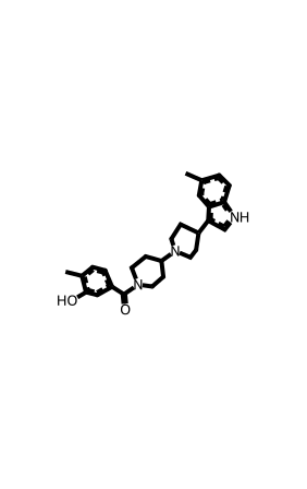 Cc1ccc2[nH]cc(C3CCN(C4CCN(C(=O)c5ccc(C)c(O)c5)CC4)CC3)c2c1